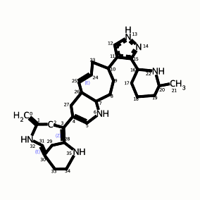 C=C1C/C(C2=CNC3CCC(c4c[nH]nc4C4CCCC(C)N4)C/C=C/C3C2)=C2\C/C(=C/N1)CCN2